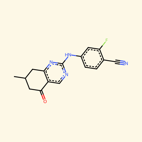 CC1CC(=O)c2cnc(Nc3ccc(C#N)c(F)c3)nc2C1